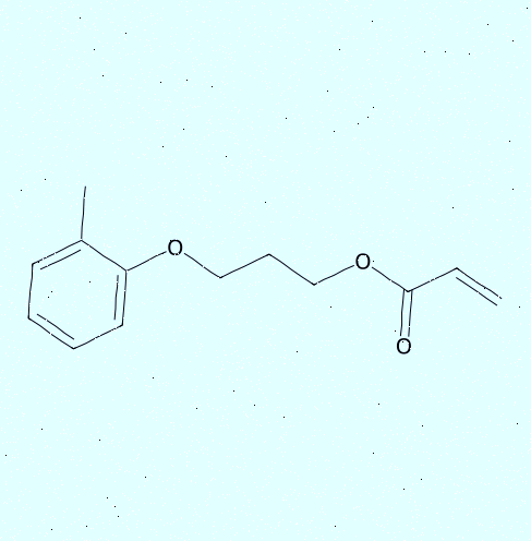 C=CC(=O)OCCCOc1ccccc1C